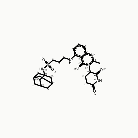 Cc1nc2cccc(NCCCS(=O)(=O)NC34CC5CC(CC(C5)C3)C4)c2c(=O)n1C1CCC(=O)NC1=O